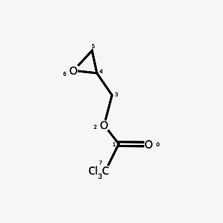 O=C(OCC1CO1)C(Cl)(Cl)Cl